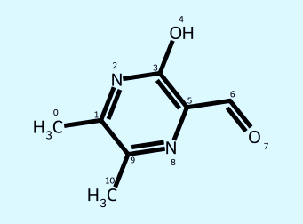 Cc1nc(O)c(C=O)nc1C